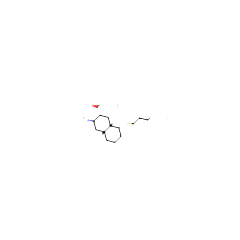 CCCCS[C@@H]1CCC[C@@H]2CC(N)[C@H](C(C)=O)C[C@@H]21